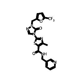 Cc1nc(-n2cnn(Cc3ccc(C(F)(F)F)o3)c2=O)sc1C(=O)NCc1cccnc1